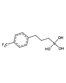 O[Si](O)(O)CCCc1ccc(C(F)(F)F)cc1